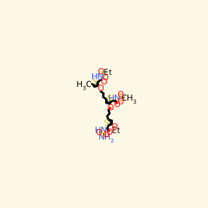 CCOc1cc(CCCOc2cc(CCCOc3cc(C)sc3C(=O)NS(=O)(=O)CC)sc2C(=O)NS(C)(=O)=O)sc1C(=O)NS(N)(=O)=O